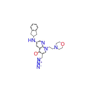 [N-]=[N+]=NCc1cn(CCN2CCOCC2)c2ncc(NC3Cc4ccccc4C3)cc2c1=O